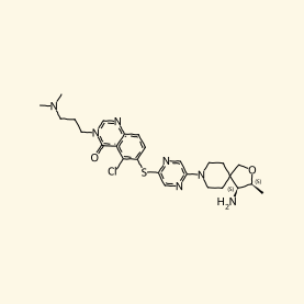 C[C@@H]1OCC2(CCN(c3cnc(Sc4ccc5ncn(CCCN(C)C)c(=O)c5c4Cl)cn3)CC2)[C@@H]1N